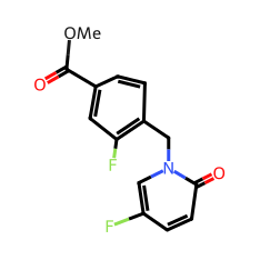 COC(=O)c1ccc(Cn2cc(F)ccc2=O)c(F)c1